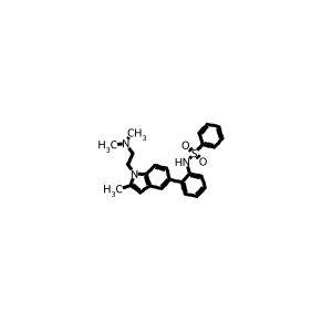 Cc1cc2cc(-c3ccccc3NS(=O)(=O)c3ccccc3)ccc2n1CCN(C)C